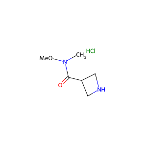 CON(C)C(=O)C1CNC1.Cl